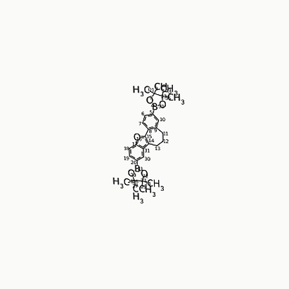 CC1(C)OB(c2ccc3c(c2)CCCc2c-3oc3ccc(B4OC(C)(C)C(C)(C)O4)cc23)OC1(C)C